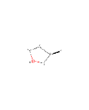 [CH2][C@@H]1CCOC1